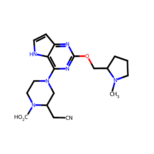 CN1CCCC1COc1nc(N2CCN(C(=O)O)C(CC#N)C2)c2[nH]ccc2n1